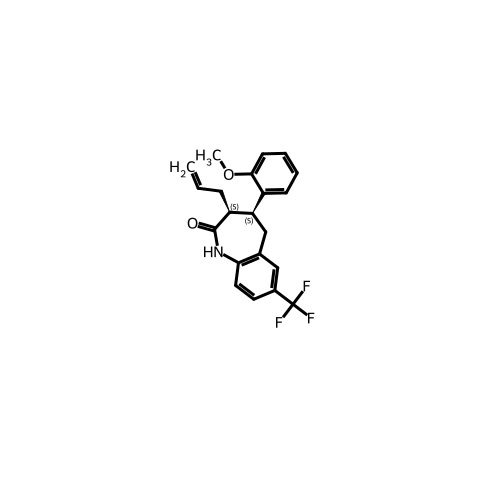 C=CC[C@@H]1C(=O)Nc2ccc(C(F)(F)F)cc2C[C@@H]1c1ccccc1OC